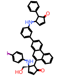 O=C1C=CC(Nc2cccc(-c3ccc4c(c3)cc(C3C(=O)C=C[C@]3(CO)Nc3ccc(I)cc3)c3ccccc34)c2)C1c1ccccc1